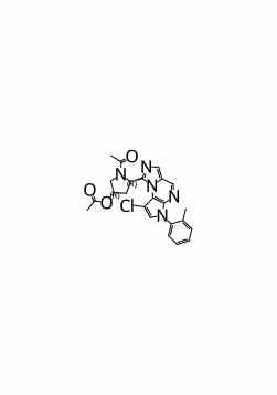 CC(=O)O[C@@H]1C[C@H](c2ncc3cnc4c(c(Cl)cn4-c4ccccc4C)n23)N(C(C)=O)C1